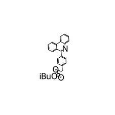 CC(C)COS(=O)(=O)Cc1ccc(-c2nc3ccccc3c3ccccc23)cc1